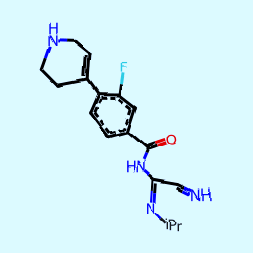 CC(C)/N=C(\C=N)NC(=O)c1ccc(C2=CCNCC2)c(F)c1